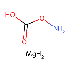 NOC(=O)O.[MgH2]